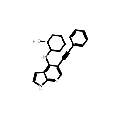 C[C@H]1CCCCC1Nc1c(C#Cc2ccccc2)cnc2[nH]ccc12